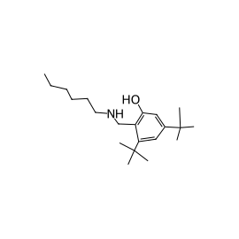 CCCCCCNCc1c(O)cc(C(C)(C)C)cc1C(C)(C)C